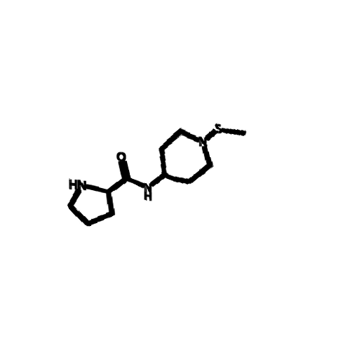 CSN1CCC(NC(=O)C2CCCN2)CC1